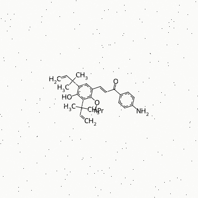 C=CC(C)(C)c1cc(/C=C/C(=O)c2ccc(N)cc2)c(OCCC)c(C(C)(C)C=C)c1O